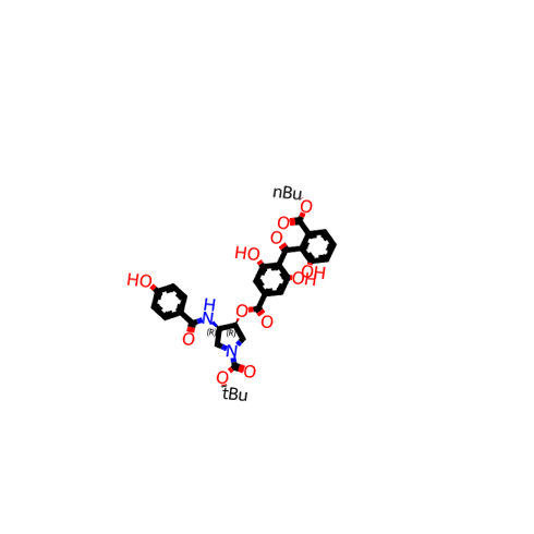 CCCCOC(=O)c1cccc(O)c1C(=O)c1c(O)cc(C(=O)O[C@@H]2CN(C(=O)OC(C)(C)C)C[C@H]2NC(=O)c2ccc(O)cc2)cc1O